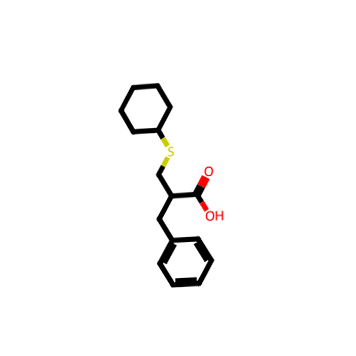 O=C(O)C(CSC1CCCCC1)Cc1ccccc1